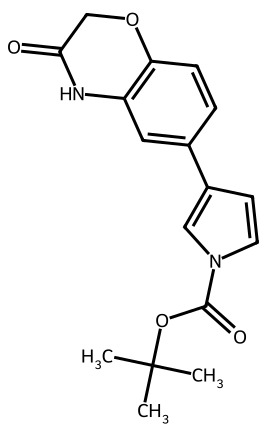 CC(C)(C)OC(=O)n1ccc(-c2ccc3c(c2)NC(=O)CO3)c1